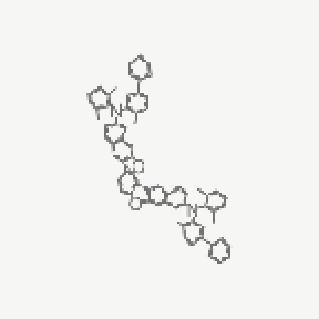 Cc1ccc(-c2ccccc2)cc1N(c1ccc2cc3c(cc2c1)oc1c3ccc2oc3cc4cc(N(c5cc(-c6ccccc6)ccc5C)c5c(C)cccc5C)ccc4cc3c21)c1c(C)cccc1C